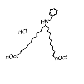 CCCCCCCCC=CCCCCCCCCC(CCCCCCCCC=CCCCCCCCC)NCc1ccccc1.Cl